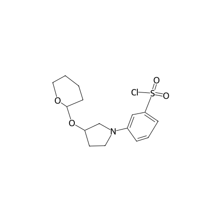 O=S(=O)(Cl)c1cccc(N2CCC(OC3CCCCO3)C2)c1